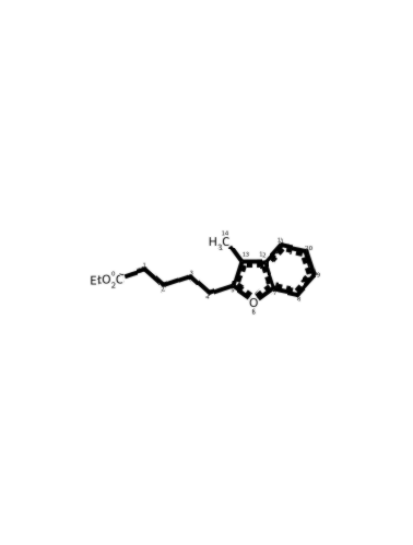 CCOC(=O)CCCCc1oc2ccccc2c1C